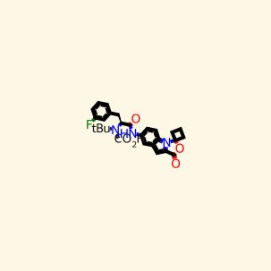 CC(C)(C)N(C(=O)O)[C@@H](Cc1cccc(F)c1)C(=O)Nc1ccc2c(c1)cc1n2C2(CCC2)OC1=O